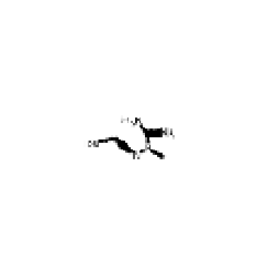 CCCCC=NN(C)C(=N)N